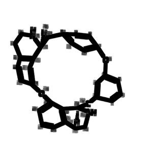 c1cc2cc(c1)Oc1ccc(cc1)C[C@@H]1NCCc3ccc(cc31)Oc1cccc3c1[C@@H](C2)NCC3